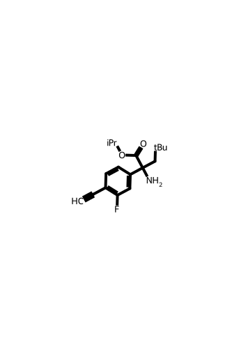 C#Cc1ccc(C(N)(CC(C)(C)C)C(=O)OC(C)C)cc1F